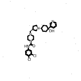 O=C(Nc1ccc(Cl)c(Cl)c1)N1CCN(C[C@H]2CCN([C@H]3CC[C@@](O)(c4cccnc4)CC3)C2)CC1